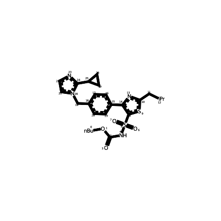 CCCCOC(=O)NS(=O)(=O)c1sc(CC(C)C)nc1-c1ccc(Cn2ccnc2C2CC2)cc1